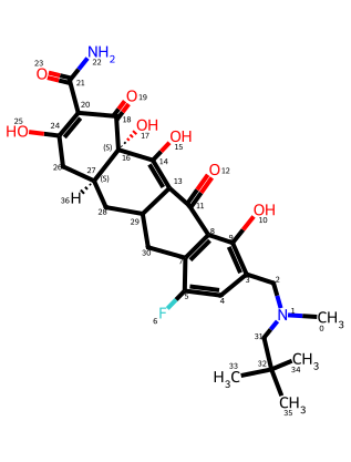 CN(Cc1cc(F)c2c(c1O)C(=O)C1=C(O)[C@]3(O)C(=O)C(C(N)=O)=C(O)C[C@@H]3CC1C2)CC(C)(C)C